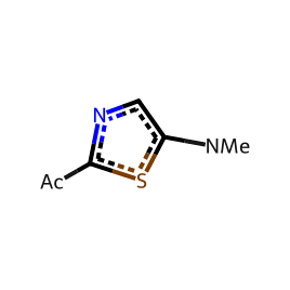 CNc1cnc(C(C)=O)s1